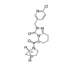 O=C([C@@H]1CCCc2nn(Cc3ccc(Cl)nc3)c(=O)n21)N1CC[C@@H]2C[C@@H]21